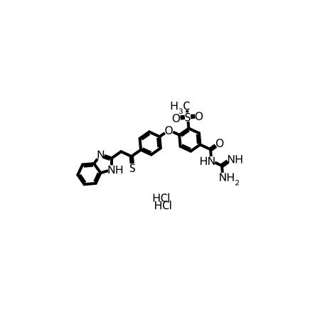 CS(=O)(=O)c1cc(C(=O)NC(=N)N)ccc1Oc1ccc(C(=S)Cc2nc3ccccc3[nH]2)cc1.Cl.Cl